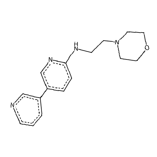 c1cncc(-c2ccc(NCCN3CCOCC3)nc2)c1